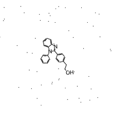 OCCc1ccc(-c2nc3ccccc3n2-c2ccccc2)cc1